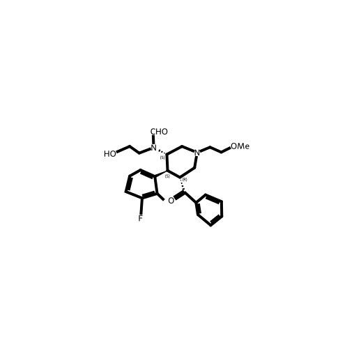 COCCN1C[C@H](C(=O)c2ccccc2)[C@@H](c2cccc(F)c2C)[C@H](N(C=O)CCO)C1